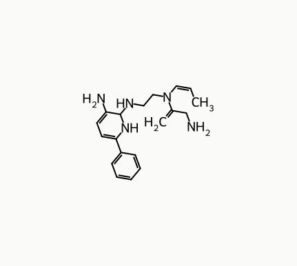 C=C(CN)N(/C=C\C)CCNC1NC(c2ccccc2)=CC=C1N